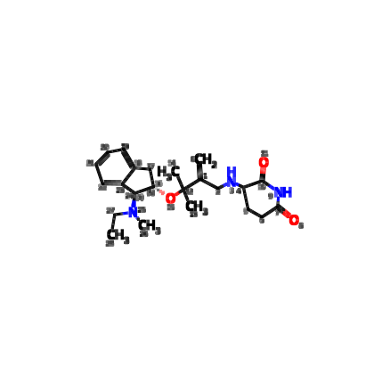 C=C(CNC1CCC(=O)NC1=O)C(C)(C)O[C@H]1Cc2ccccc2[C@@H]1N(C)CC